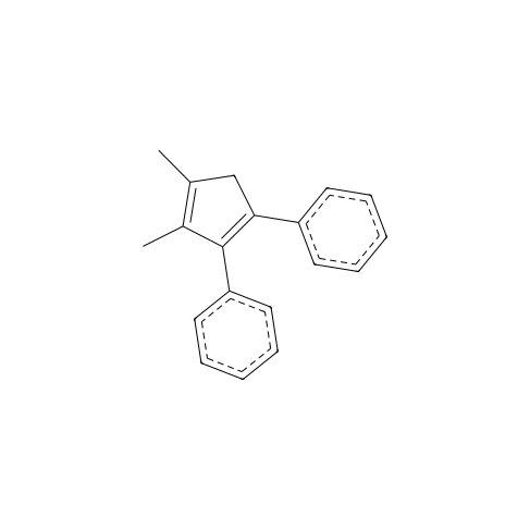 CC1=C(C)C(c2ccccc2)=C(c2ccccc2)C1